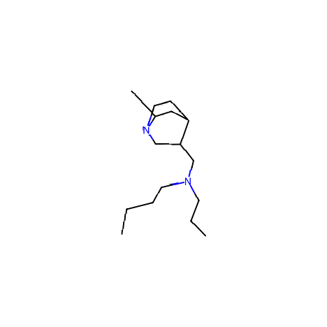 CCCCN(CCC)CC1CN2CCC1CC2C